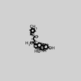 Cc1ccc2c(c1)CN2C(=O)CC[C@@H](C)[C@H]1CC[C@H]2[C@@H]3[C@@H](O)C[C@@H]4C[C@H](O)CC[C@]4(C)[C@H]3CC[C@]12C